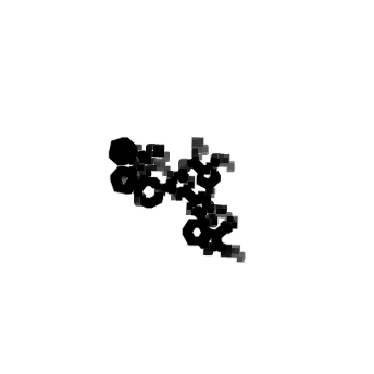 COC1(c2nc(-c3nc(O[C@@H](C)[C@@H]4C[C@@H](F)CN4C)nc(N4CCOC[C@@](C)(O[Si](c5ccccc5)(c5ccccc5)C(C)(C)C)C4)n3)no2)CCCc2sc(N)c(C#N)c21